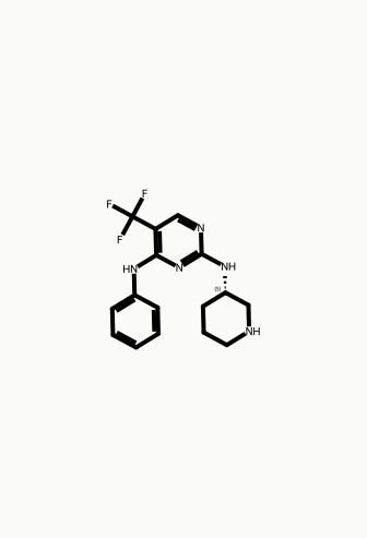 FC(F)(F)c1cnc(N[C@H]2CCCNC2)nc1Nc1ccccc1